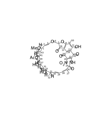 CO[C@H]1/C=C/O[C@@]2(C)Oc3c(C)c(O)c4c(c3C2=O)C(=O)C([N+](=O)[O-])=C(NC(=O)/C(C)=C\C=C\[C@H](C)[C@H](O)[C@@H](C)[C@@H](O)[C@H](C)[C@H](OC(C)=O)[C@H]1C)C4=O